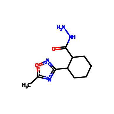 Cc1nc(C2CCCCC2C(=O)NN)no1